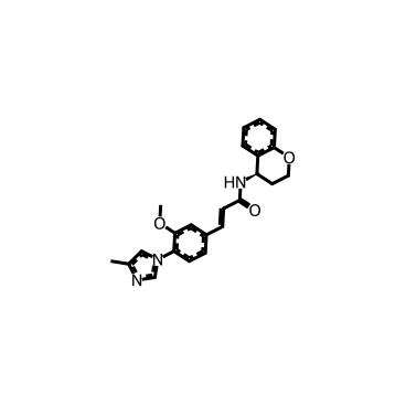 COc1cc(/C=C/C(=O)N[C@@H]2CCOc3ccccc32)ccc1-n1cnc(C)c1